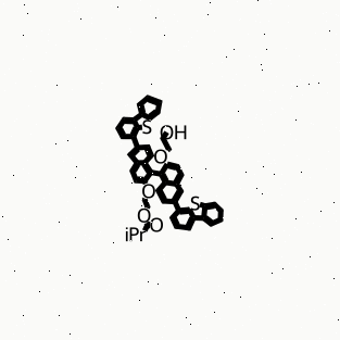 CC(C)C(=O)OCCOc1ccc2cc(-c3cccc4c3sc3ccccc34)ccc2c1-c1c(OCCO)ccc2cc(-c3cccc4c5c(sc34)=CCCC=5)ccc12